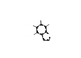 Cc1c(C=O)c(O)c(C)c2occc12